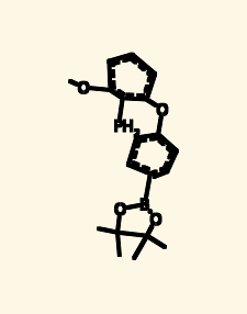 COc1cccc(Oc2ccc(B3OC(C)(C)C(C)(C)O3)cc2)c1P